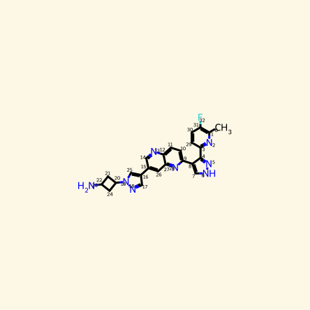 Cc1nc(-c2n[nH]cc2-c2ccc3ncc(-c4cnn(C5CC(N)C5)c4)cc3n2)ccc1F